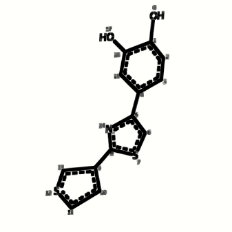 Oc1ccc(-c2csc(-c3ccsc3)n2)cc1O